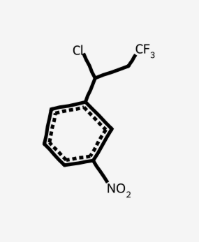 O=[N+]([O-])c1cccc(C(Cl)CC(F)(F)F)c1